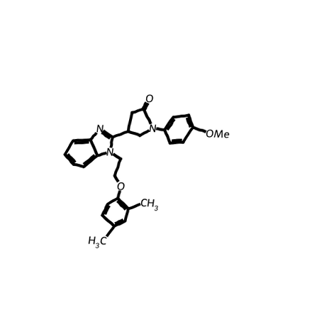 COc1ccc(N2CC(c3nc4ccccc4n3CCOc3ccc(C)cc3C)CC2=O)cc1